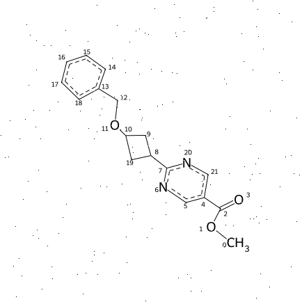 COC(=O)c1cnc(C2CC(OCc3ccccc3)C2)nc1